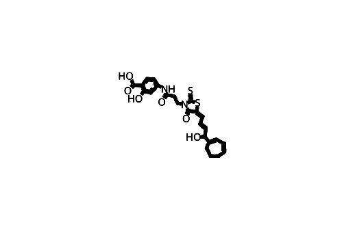 O=C(CCN1C(=O)/C(=C\C=C\C(O)C2=CC=CCCC2)SC1=S)Nc1ccc(C(=O)O)c(O)c1